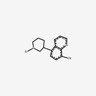 CCN1CCCC(c2ccc(C#N)c3ncccc23)C1